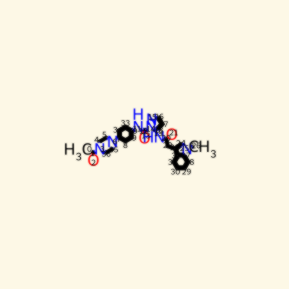 CC(=O)N1CCN(c2ccc(NC(=O)n3nccc3NC(=O)Cc3cn(C)c4ccccc34)cc2)CC1